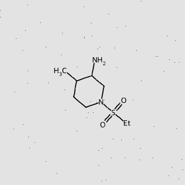 CCS(=O)(=O)N1CCC(C)C(N)C1